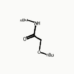 CCCCNC(=O)COCCCC